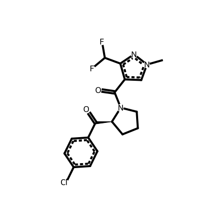 Cn1cc(C(=O)N2CCC[C@H]2C(=O)c2ccc(Cl)cc2)c(C(F)F)n1